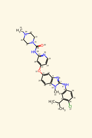 CC(C)c1cc(Nc2nc3cc(Oc4ccnc(NC(=O)N5CCN(C)CC5)c4)ccc3n2C)ccc1Cl